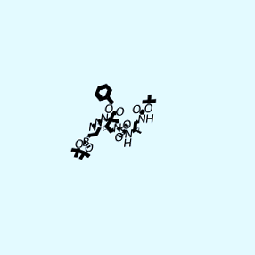 C[C@H](CNC(=O)OC(C)(C)C)NS(=O)(=O)N1C[C@H](CCCB2OC(C)(C)C(C)(C)O2)C(N=[N+]=[N-])(C(=O)OCc2ccccc2)C1